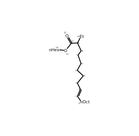 CCCCCCCCC=CCCCCCCC(CC)C(=O)OCCCCCC